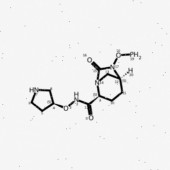 O=C(NO[C@H]1CCNC1)[C@@H]1CC[C@H]2CN1C(=O)N2OP